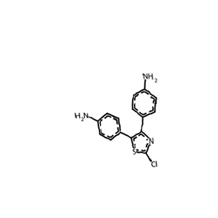 Nc1ccc(-c2nc(Cl)sc2-c2ccc(N)cc2)cc1